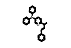 CC(C=Cc1ccccc1)c1ccc(N(c2ccccc2)c2ccccc2)cn1